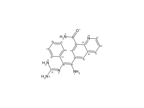 NC(=O)c1cc(/C(N)=C(/N=C(N)N)c2ccccc2)cc2cccnc12